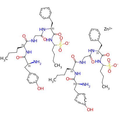 CCCCC(NC(=O)[C@H](Cc1ccccc1)NC(=O)CNC(=O)[C@H](CCCC)NC(=O)[C@@H](N)Cc1ccc(O)cc1)S(=O)(=O)[O-].CCCCC(NC(=O)[C@H](Cc1ccccc1)NC(=O)CNC(=O)[C@H](CCCC)NC(=O)[C@@H](N)Cc1ccc(O)cc1)S(=O)(=O)[O-].[Zn+2]